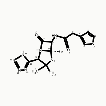 CC1(C)S[C@@H]2C(NC(=O)Cc3ccsc3)C(=O)N2C1c1nnn[nH]1